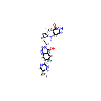 O=c1[nH]ncc(N[C@H]2CC[C@@H]2CCN2C=Nc3cc(-c4ncc(C(F)(F)F)cn4)c(F)cc3C2O)c1C(F)(F)F